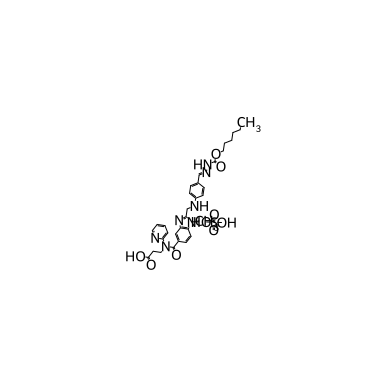 CCCCCCOC(=O)NN=Cc1ccc(NCc2nc3cc(C(=O)N(CCC(=O)O)c4ccccn4)ccc3n2C)cc1.O=S(=O)(O)O